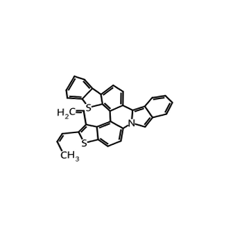 C=Cc1c(/C=C\C)sc2ccc3c(c12)c1c(ccc2c4ccccc4sc21)c1c2ccccc2cn31